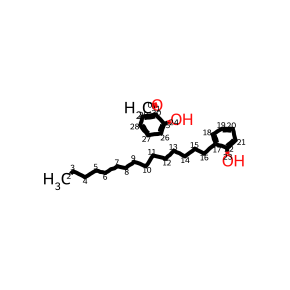 C=O.CCCCCCCCCCCCCCCc1ccccc1O.Oc1ccccc1